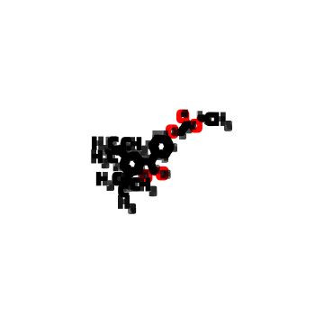 CCOC(=O)COc1ccc(C2C(=O)Oc3c2cc(C(C)(C)C)cc3C(C)(C)C)cc1